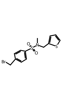 CN(Cc1cccs1)S(=O)(=O)c1ccc(CBr)cc1